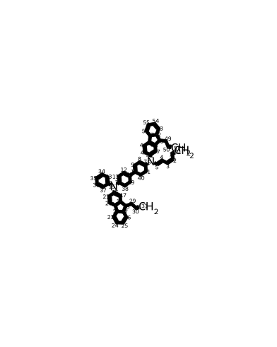 C=C/C=C\C=C\N(C1=CC=C(C2=CC=C(N(C3=CC4C(C=C3)C3C=CC=CC3C4CC=C)c3ccccc3)CC2)CC1)c1ccc2c(c1)C(CC=C)C1C=CC=CC21